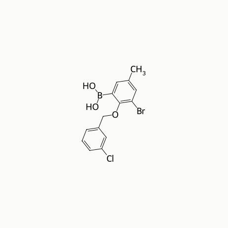 Cc1cc(Br)c(OCc2cccc(Cl)c2)c(B(O)O)c1